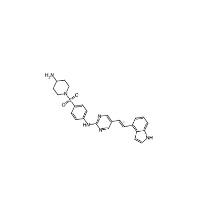 NC1CCN(S(=O)(=O)c2ccc(Nc3ncc(/C=C/c4cccc5[nH]ccc45)cn3)cc2)CC1